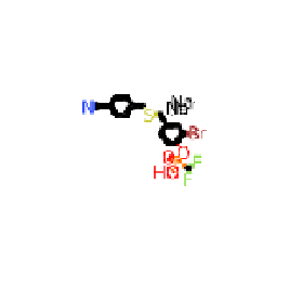 N#Cc1ccc(CSCc2ccc(OP(=O)(O)C(F)F)c(Br)c2)cc1.[Na].[Na]